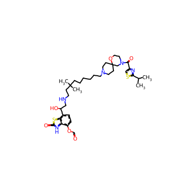 CC(C)c1nc(C(=O)N2CCOC3(CCN(CCCCCCC(C)(C)CCNCC(O)c4ccc(OC=O)c5[nH]c(=O)sc45)CC3)C2)cs1